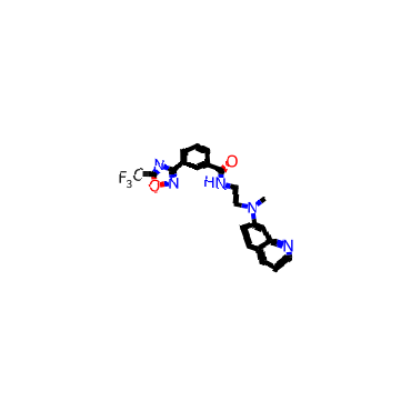 CN(CCNC(=O)c1cccc(-c2noc(C(F)(F)F)n2)c1)c1ccc2cccnc2c1